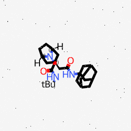 CC(C)(C)NC(=O)CN1[C@@H]2CC[C@H]1C[C@@H](CC(=O)NC13CC4CC(CC(C4)C1)C3)C2